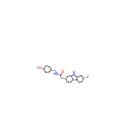 O=C(Cc1ccc2c(c1)[nH]c1cc(F)ccc12)NCc1ccc(O)cc1